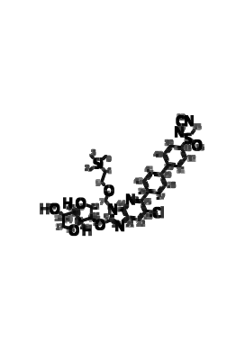 C[Si](C)(C)CCOCn1c(O[C@@H]2CO[C@H]3[C@@H]2OC[C@H]3O)nc2cc(Cl)c(-c3ccc(-c4ccc(S(C)(=O)=NC#N)cc4)cc3)nc21